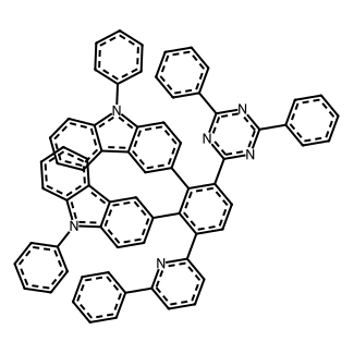 c1ccc(-c2cccc(-c3ccc(-c4nc(-c5ccccc5)nc(-c5ccccc5)n4)c(-c4ccc5c(c4)c4ccccc4n5-c4ccccc4)c3-c3ccc4c(c3)c3ccccc3n4-c3ccccc3)n2)cc1